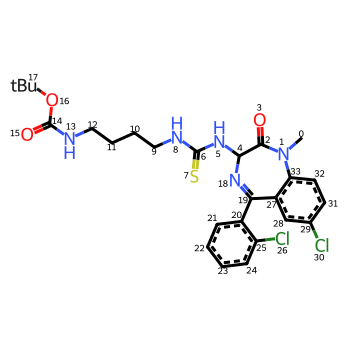 CN1C(=O)C(NC(=S)NCCCCNC(=O)OC(C)(C)C)N=C(c2ccccc2Cl)c2cc(Cl)ccc21